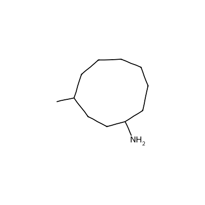 CC1CCCCCCC(N)CC1